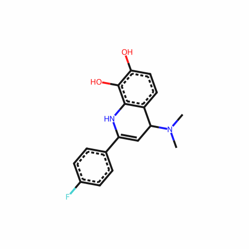 CN(C)C1C=C(c2ccc(F)cc2)Nc2c1ccc(O)c2O